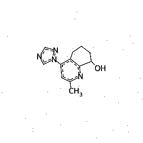 Cc1cc(-n2cncn2)c2c(n1)C(O)CCC2